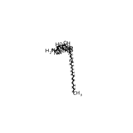 CCCCCCCCCCCCCCCCCOCCCCOP(=O)(O)O[C@H]1O[C@@](C)(c2ccc3c(N)ncnn23)[C@H](O)[C@@H]1O